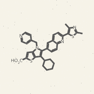 Cc1nc(C)c(-c2ccc3cc(-c4c(C5CCCCC5)c5sc(C(=O)O)cc5n4Cc4ccncc4)ccc3n2)s1